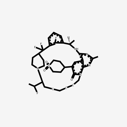 Cc1nc2c3cc(C4CCS(=O)(=O)CC4)c(=O)n(c3n1)CCCCCCC(C(C)F)N1CCC(CC1)C(F)(F)c1cccc(c1F)[C@@H](C)N2